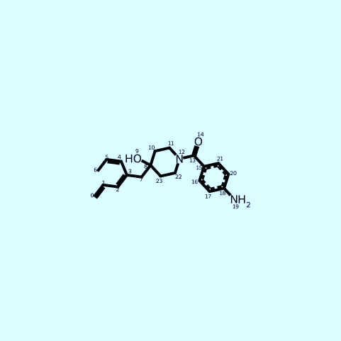 C=C/C=C(\C=C/C)CC1(O)CCN(C(=O)c2ccc(N)cc2)CC1